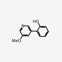 COc1cncc(-c2cc[c]cc2O)c1